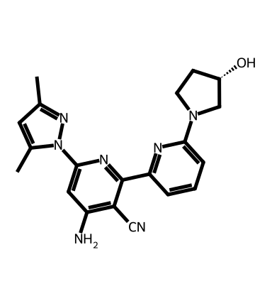 Cc1cc(C)n(-c2cc(N)c(C#N)c(-c3cccc(N4CC[C@H](O)C4)n3)n2)n1